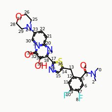 CN(C)C(=O)c1cc(F)c(F)cc1Cc1cnc(-c2nc3ccc(N4CCOCC4)cn3c(=O)c2O)s1